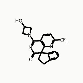 O=C1N=C(N2CC(O)C2)c2ccc(C(F)(F)F)nc2C12CCc1ccccc12